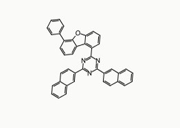 c1ccc(-c2cccc3c2oc2cccc(-c4nc(-c5ccc6ccccc6c5)nc(-c5ccc6ccccc6c5)n4)c23)cc1